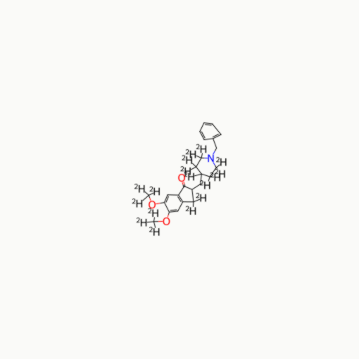 [2H]C([2H])([2H])Oc1cc2c(cc1OC([2H])([2H])[2H])C([2H])([2H])C(CC1([2H])C([2H])([2H])C([2H])([2H])N(Cc3ccccc3)C([2H])([2H])C1([2H])[2H])C2=O